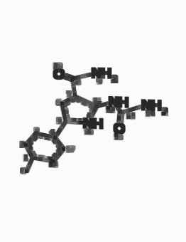 Cc1ccc(-c2cc(C(N)=O)c(NC(N)=O)[nH]2)cc1